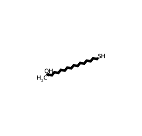 C=C(O)CCCCCCCCCCCCCCCS